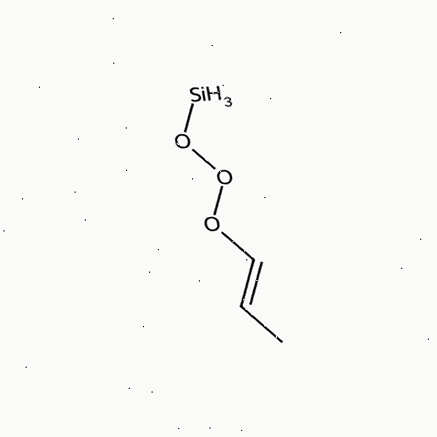 CC=COOO[SiH3]